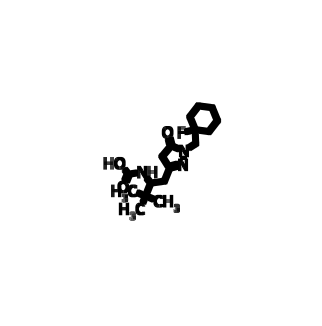 CC(C)(C)C(CC1=NN(CC2(F)CCCCC2)C(=O)C1)NC(=O)O